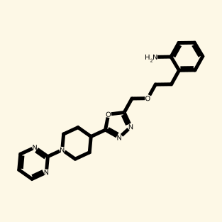 Nc1ccccc1CCOCc1nnc(C2CCN(c3ncccn3)CC2)o1